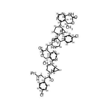 CC(C)NC[C@@H](C(=O)N1CCN(c2ncnc3c2[C@H](C)OC(=O)N3CC(C)NC[C@@H](C(=O)N2CCN(c3ncnc4c3[C@@H](C)OC(=O)N4)[C@@H]3CC32)c2ccc(Cl)cc2)[C@@H]2CC21)c1ccc(Cl)cc1